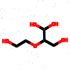 OCCOC(CO)C(O)O